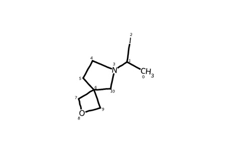 CC(I)N1CCC2(COC2)C1